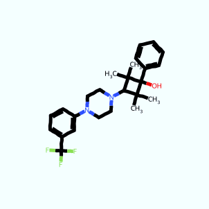 CC1(C)C(N2CCN(c3cccc(C(F)(F)F)c3)CC2)C(C)(C)C1(O)c1ccccc1